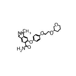 Cn1ncc2cc(C(N)=O)c(Oc3ccc(OCCO[C@@H]4CCCOC4)cc3)cc21